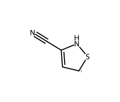 N#CC1=C[C]SN1